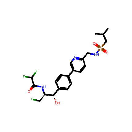 CC(C)CS(=O)(=O)NCc1ccc(-c2ccc([C@H](O)[C@@H](CF)NC(=O)C(F)F)cc2)cn1